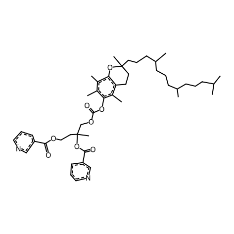 Cc1c(C)c2c(c(C)c1OC(=O)OCC(C)(CCOC(=O)c1cccnc1)OC(=O)c1cccnc1)CCC(C)(CCCC(C)CCCC(C)CCCC(C)C)O2